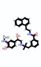 CC(C)(Cc1cccc(C(=O)NCCc2cccc3ccccc23)c1)NC[C@H](O)c1ccc(O)c(NC=O)c1